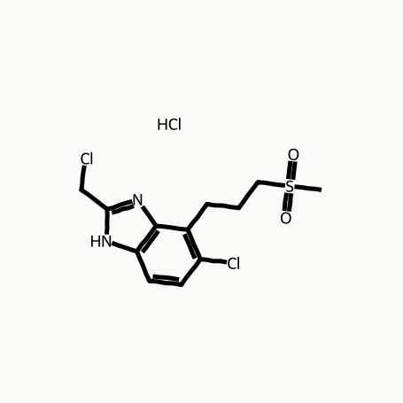 CS(=O)(=O)CCCc1c(Cl)ccc2[nH]c(CCl)nc12.Cl